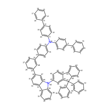 c1ccc(-c2ccc(N(c3ccc(-c4ccccc4)cc3)c3ccc(-c4cccc(-c5ccc6c7ccccc7n(-c7ccc8c(c7)C(c7ccccc7)(c7ccccc7)c7ccccc7-8)c6c5)c4)cc3)cc2)cc1